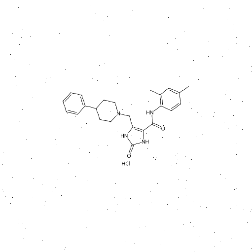 Cc1ccc(NC(=O)c2[nH]c(=O)[nH]c2CN2CCC(c3ccccc3)CC2)c(C)c1.Cl